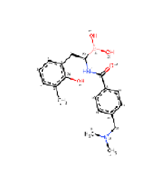 Cc1cccc(C[C@H](NC(=O)c2ccc(CN(C)C)cc2)B(O)O)c1O